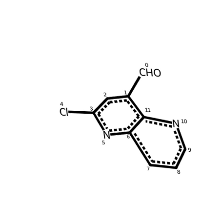 O=Cc1cc(Cl)nc2cccnc12